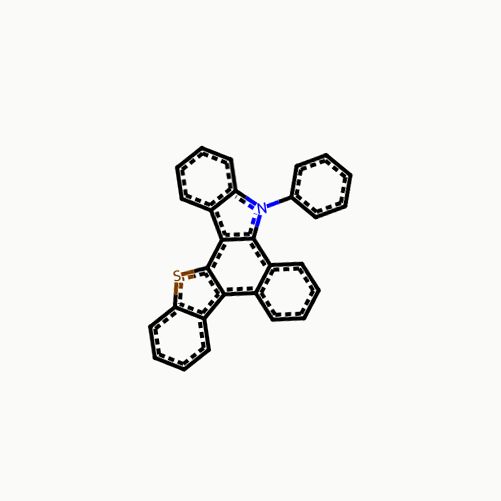 c1ccc(-n2c3ccccc3c3c4sc5ccccc5c4c4ccccc4c32)cc1